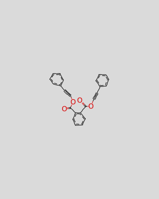 O=C(OC#Cc1ccccc1)c1ccccc1C(=O)OC#Cc1ccccc1